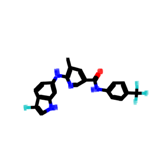 Cc1cc(C(=O)Nc2ccc(C(F)(F)F)cc2)cnc1Nc1ccc2c(F)c[nH]c2c1